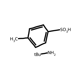 CC(C)(C)N.Cc1ccc(S(=O)(=O)O)cc1